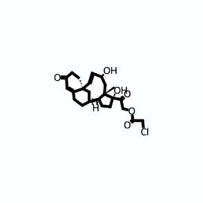 C[C@]12C[C@H](O)/C=C/[C@]34CCC(=O)C=C3CC[C@H](C4)[C@@H]1CC[C@]2(O)C(=O)COC(=O)CCl